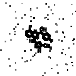 Cc1cc(Nc2nc([C@H](O)c3ccc(F)cc3)nc3c(F)cccc23)n[nH]1